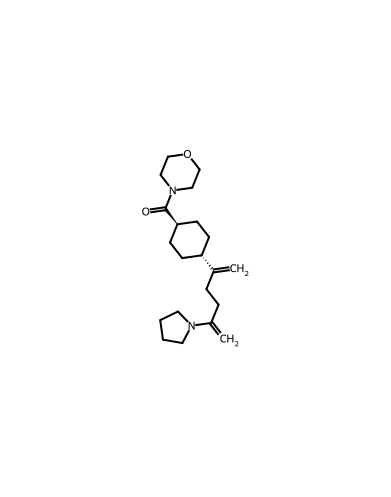 C=C(CCC(=C)[C@H]1CC[C@H](C(=O)N2CCOCC2)CC1)N1CCCC1